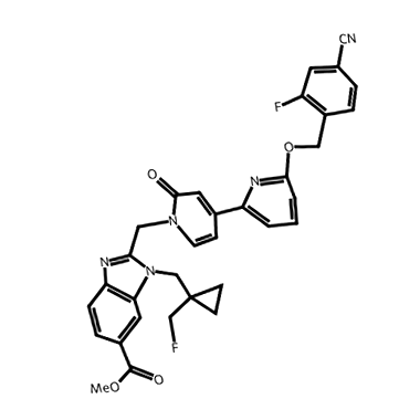 COC(=O)c1ccc2nc(Cn3ccc(-c4cccc(OCc5ccc(C#N)cc5F)n4)cc3=O)n(CC3(CF)CC3)c2c1